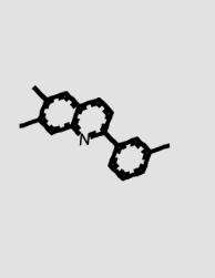 Cc1cccc(-c2ccc3cc(C)c(C)cc3n2)c1